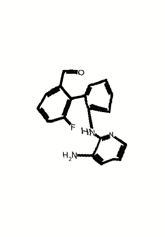 Nc1cccnc1Nc1ccccc1-c1c(F)cccc1C=O